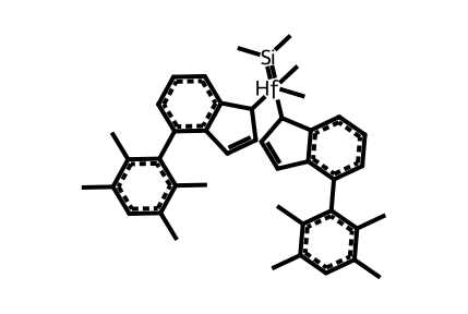 Cc1cc(C)c(C)c(-c2cccc3c2C=C[CH]3[Hf]([CH3])([CH3])([CH]2C=Cc3c(-c4c(C)c(C)cc(C)c4C)cccc32)=[Si](C)C)c1C